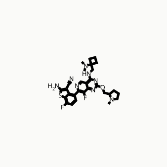 CN1CCCC1COc1nc(NCC2(N(C)C)CCC2)c2cnc(-c3ccc(F)c4sc(N)c(C#N)c34)c(F)c2n1